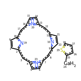 C1=Cc2cc3ccc(cc4nc(cc5ccc(cc1n2)[nH]5)C=C4)[nH]3.[GaH2][c]1cccs1